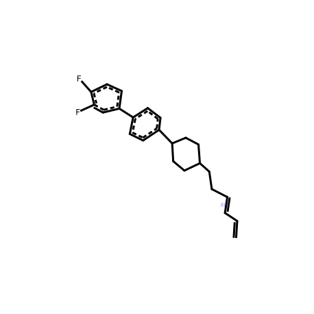 C=C/C=C/CCC1CCC(c2ccc(-c3ccc(F)c(F)c3)cc2)CC1